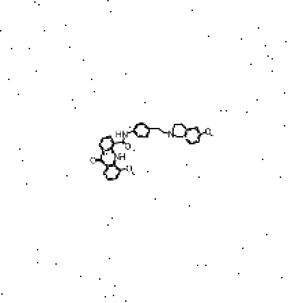 COc1ccc2c(c1)CCN(CCc1ccc(NC(=O)c3cccc4c(=O)c5cccc(OC)c5[nH]c34)cc1)C2